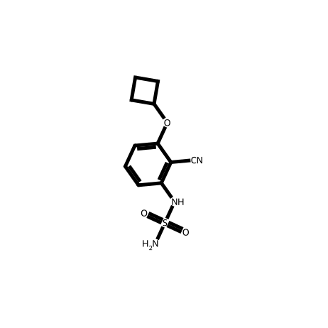 N#Cc1c(NS(N)(=O)=O)cccc1OC1CCC1